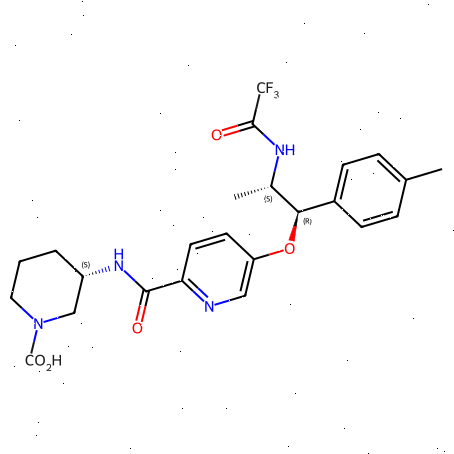 Cc1ccc([C@@H](Oc2ccc(C(=O)N[C@H]3CCCN(C(=O)O)C3)nc2)[C@H](C)NC(=O)C(F)(F)F)cc1